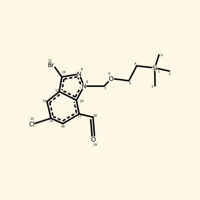 C[Si](C)(C)CCOCn1nc(Br)c2cc(Cl)cc(C=O)c21